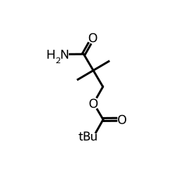 CC(C)(C)C(=O)OCC(C)(C)C(N)=O